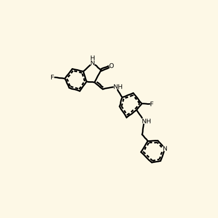 O=C1Nc2cc(F)ccc2C1=CNc1ccc(NCc2cccnc2)c(F)c1